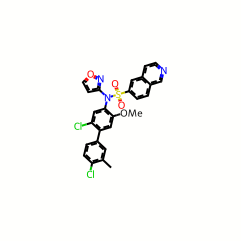 COc1cc(-c2ccc(Cl)c(C)c2)c(Cl)cc1N(c1ccon1)S(=O)(=O)c1ccc2cnccc2c1